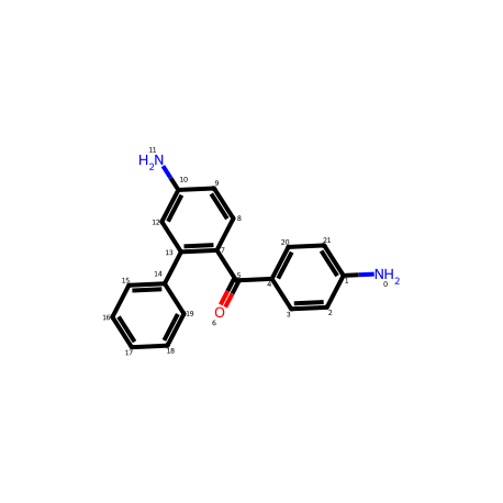 Nc1ccc(C(=O)c2ccc(N)cc2-c2ccccc2)cc1